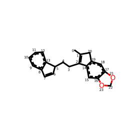 CC1=C(CCC2C=Cc3ccccc32)c2cc3c(cc2C1)OCO3